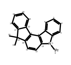 CC(C)n1c2ccccc2c2c3c(ccc21)C(C)(C)c1ccccc1-3